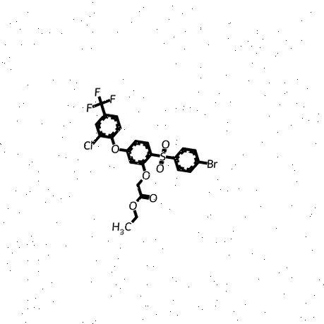 CCOC(=O)COc1cc(Oc2ccc(C(F)(F)F)cc2Cl)ccc1S(=O)(=O)c1ccc(Br)cc1